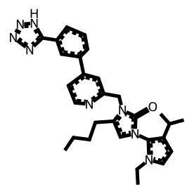 CCCCc1cn(-c2c(C(C)C)ccn2CC)c(=O)n1Cc1cc(-c2cccc(-c3nnn[nH]3)c2)ccn1